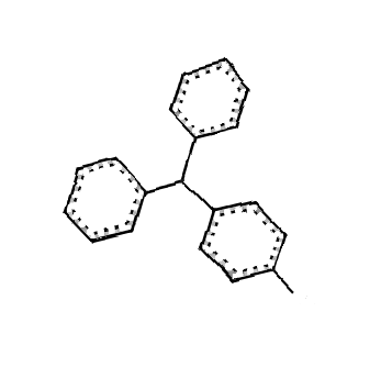 CC(C)(C)c1ccc([C](c2ccccc2)c2ccccc2)cc1